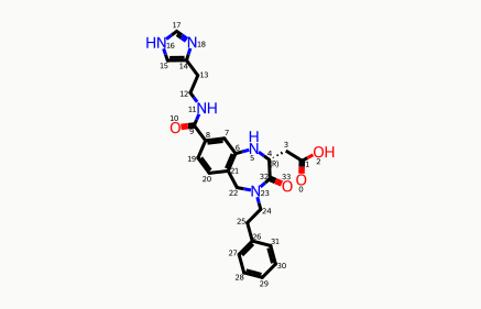 O=C(O)C[C@H]1Nc2cc(C(=O)NCCc3c[nH]cn3)ccc2CN(CCc2ccccc2)C1=O